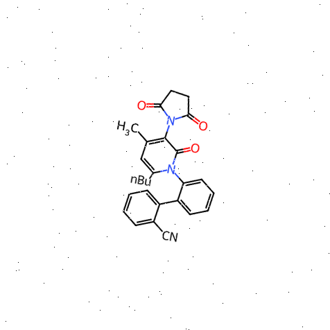 CCCCc1cc(C)c(N2C(=O)CCC2=O)c(=O)n1-c1ccccc1-c1ccccc1C#N